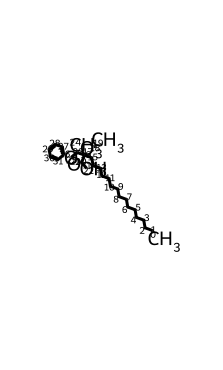 CCCCCCCCCCCCCCCCC(OCC)(C(=O)O)C(C)Oc1ccccc1